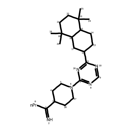 C[CH]CC(=N)C1CCN(c2ncnc(C3CCC4C(C3)C(C)(C)CCC4(C)C)n2)CC1